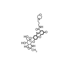 CC(=O)N[C@H]1C(O)[C@@H](O)C(CO)O[C@H]1Oc1cc2oc3cc(=O)cc(C(=O)NCCCN4CCOCC4)c-3nc2cc1Cl